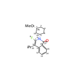 CO[C@@H]1CCC[C@H](n2c(F)c(C(C)C)c3ccccc3c2=O)C1